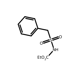 CCOC(=O)NS(=O)(=O)Cc1ccccc1